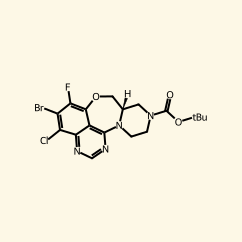 CC(C)(C)OC(=O)N1CCN2c3ncnc4c(Cl)c(Br)c(F)c(c34)OC[C@@H]2C1